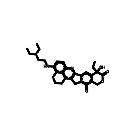 CCN(CC)CCNc1ccc2nc3c(c4c2c1SCC4)Cn1c-3cc2c(c1=O)COC(=O)C2(O)CC